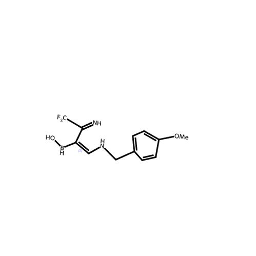 COc1ccc(CN/C=C(/BO)C(=N)C(F)(F)F)cc1